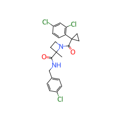 CC1(C(=O)NCc2ccc(Cl)cc2)CCN1C(=O)C1(c2ccc(Cl)cc2Cl)CC1